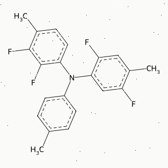 Cc1ccc(N(c2cc(F)c(C)cc2F)c2ccc(C)c(F)c2F)cc1